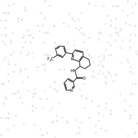 O=C(NC1CCCc2ccc(-c3cccc(C(F)(F)F)c3)nc21)c1cccnc1